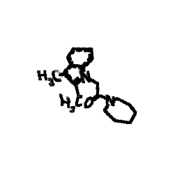 Cc1c(C)n(CC(=O)N2CCCCCC2)c2ccccc12